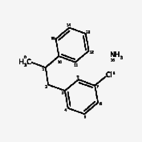 CC(Cc1cccc(Cl)c1)c1ccccc1.N